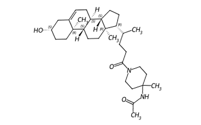 CC(=O)NC1(C)CCN(C(=O)CCC(C)[C@H]2CC[C@H]3[C@@H]4CC=C5C[C@@H](O)CC[C@]5(C)[C@H]4CC[C@]23C)CC1